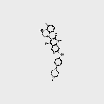 Cc1cccc2c1NCCN2c1c(F)c2cnc(Nc3ccc(N4CCN(C)CC4)cc3)nc2n(C)c1=O